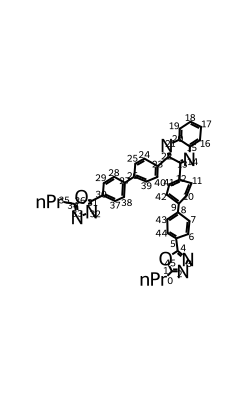 CCCc1nnc(-c2ccc(-c3ccc(-c4nc5ccccc5nc4-c4ccc(-c5ccc(-c6nnc(CCC)o6)cc5)cc4)cc3)cc2)o1